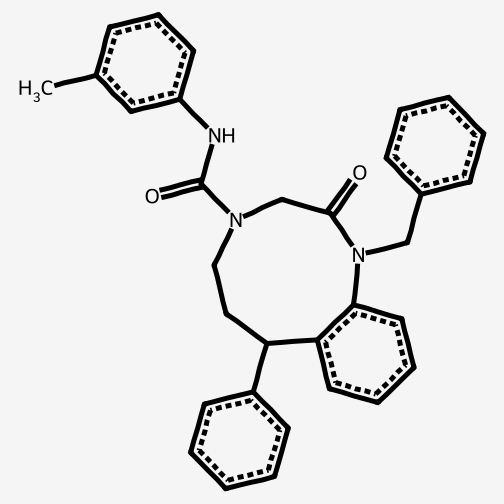 Cc1cccc(NC(=O)N2CCC(c3ccccc3)c3ccccc3N(Cc3ccccc3)C(=O)C2)c1